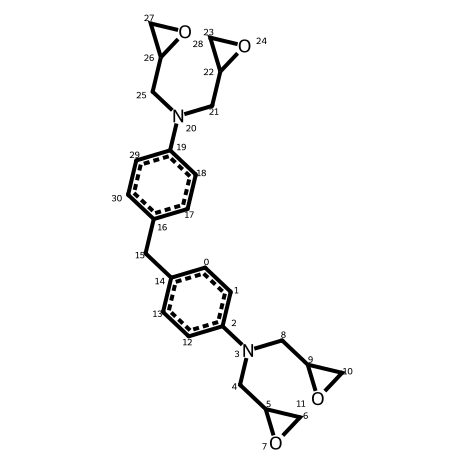 c1cc(N(CC2CO2)CC2CO2)ccc1Cc1ccc(N(CC2CO2)CC2CO2)cc1